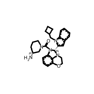 N[C@@H]1CCCN(C(=O)N2c3cccc4c3N(CCO4)[C@H]2c2cc3ccccc3n2CC2CCC2)C1